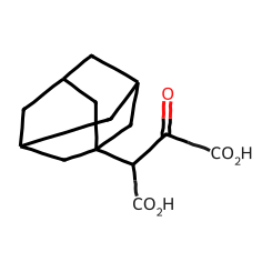 O=C(O)C(=O)C(C(=O)O)C12CC3CC(CC(C3)C1)C2